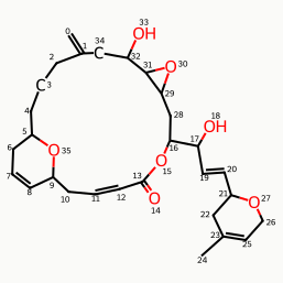 C=C1CCCC2CC=CC(C/C=C\C(=O)OC(C(O)C=CC3CC(C)=CCO3)CC3OC3C(O)C1)O2